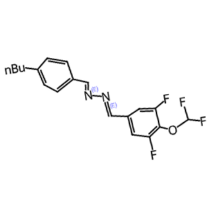 CCCCc1ccc(/C=N/N=C/c2cc(F)c(OC(F)F)c(F)c2)cc1